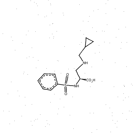 O=C(O)[C@H](CNCC1CC1)NS(=O)(=O)c1ccccc1